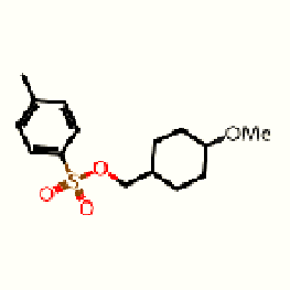 COC1CCC(COS(=O)(=O)c2ccc(C)cc2)CC1